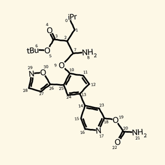 CC(C)CC(C(=O)OC(C)(C)C)C(N)Oc1ccc(-c2ccnc(OC(N)=O)c2)cc1-c1ccno1